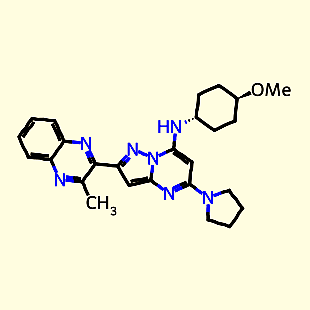 CO[C@H]1CC[C@H](Nc2cc(N3CCCC3)nc3cc(-c4nc5ccccc5nc4C)nn23)CC1